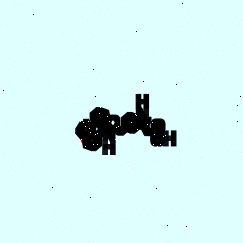 O=C(O)Cc1c[nH]c2ccc(CC(=O)NC(c3ccccc3)c3ccccc3N3CCCC3)cc12